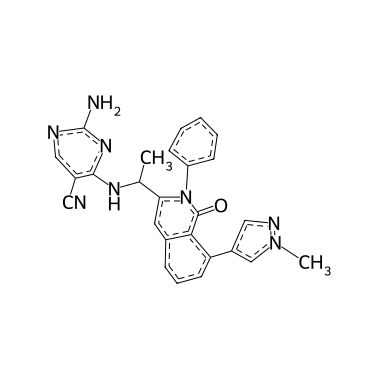 CC(Nc1nc(N)ncc1C#N)c1cc2cccc(-c3cnn(C)c3)c2c(=O)n1-c1ccccc1